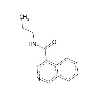 CCCNC(=O)c1cncc2ccccc12